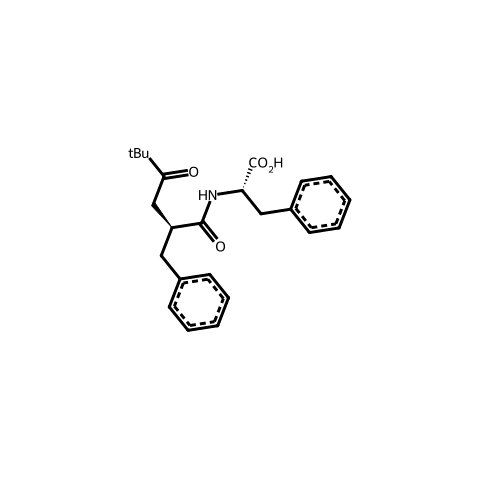 CC(C)(C)C(=O)C[C@H](Cc1ccccc1)C(=O)N[C@@H](Cc1ccccc1)C(=O)O